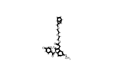 COc1ccc2c(c1)c(CC(=O)OCCOCCOCC1CC3C=CC1C3)c(C)n2C(=O)c1ccc(Cl)cc1